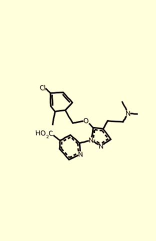 CC1C=C(Cl)C=CC1COc1c(CCN(C)C)cnn1-c1cc(C(=O)O)ccn1